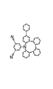 N#Cc1cc(C#N)cc(-n2c3ccccc3c3ccccc3c3ccccc3c3cc(-c4ccccc4)ccc32)c1